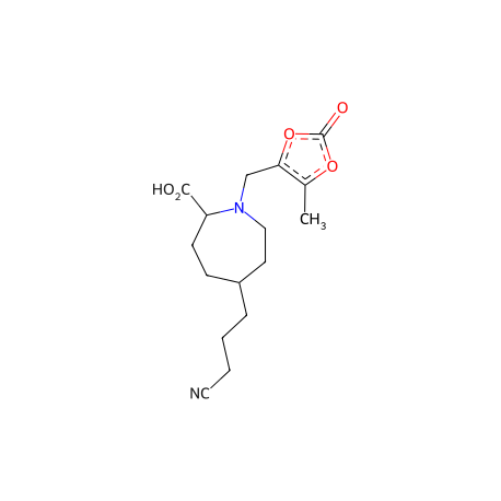 Cc1oc(=O)oc1CN1CCC(CCCC#N)CCC1C(=O)O